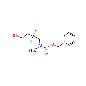 CN(CC(F)(F)CCO)C(=O)OCc1ccccc1